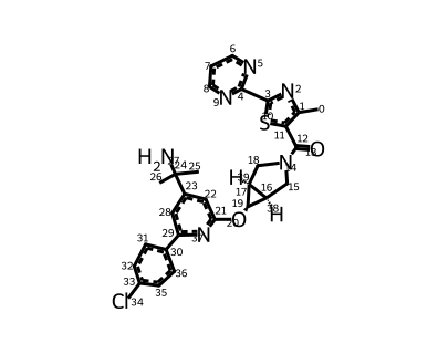 Cc1nc(-c2ncccn2)sc1C(=O)N1C[C@@H]2[C@H](C1)[C@@H]2Oc1cc(C(C)(C)N)cc(-c2ccc(Cl)cc2)n1